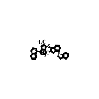 CC1=Cc2c(-c3cccc4ccccc34)cccc2C1SC1C(C)=Cc2c1cccc2N1CCc2ccccc21